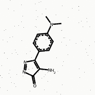 CN(C)c1ccc(C2=C(N)C(=O)N=N2)cc1